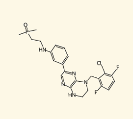 CP(C)(=O)CCNc1cccc(-c2cnc3c(n2)N(Cc2c(F)ccc(F)c2Cl)CCN3)c1